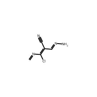 C=NC(Cl)=C(C#N)C=NN